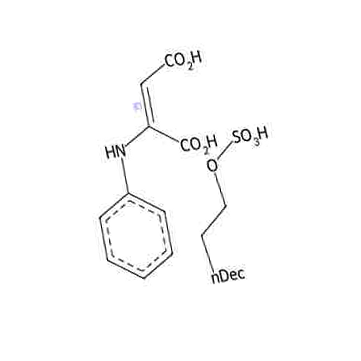 CCCCCCCCCCCCOS(=O)(=O)O.O=C(O)/C=C(/Nc1ccccc1)C(=O)O